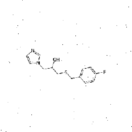 OC(CSCc1ccc(F)cc1)Cn1ccnc1